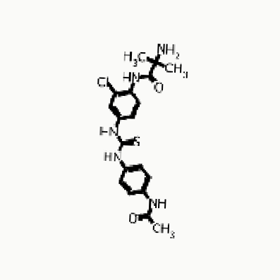 CC(=O)Nc1ccc(NC(=S)Nc2ccc(NC(=O)C(C)(C)N)c(Cl)c2)cc1